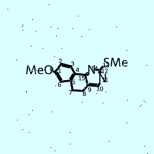 COc1ccc2c(c1)CCc1cnc(SC)nc1-2